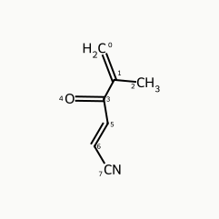 C=C(C)C(=O)C=CC#N